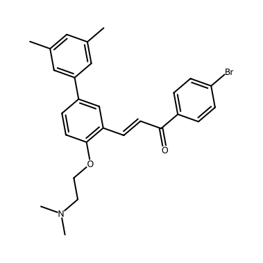 Cc1cc(C)cc(-c2ccc(OCCN(C)C)c(C=CC(=O)c3ccc(Br)cc3)c2)c1